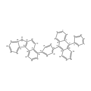 c1ccc(-c2c3ccccc3c(-c3ccc(-c4cccc5c4ccc4oc6ccccc6c45)cc3)c3ccccc23)cc1